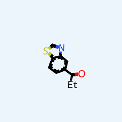 CCC(=O)c1ccc2scnc2c1